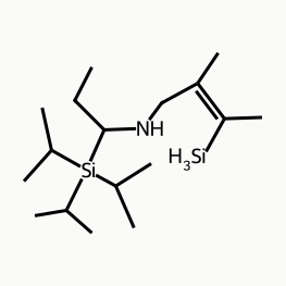 CCC(NCC(C)=C(C)[SiH3])[Si](C(C)C)(C(C)C)C(C)C